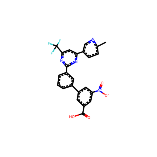 Cc1ccc(-c2cc(C(F)(F)F)nc(-c3cccc(-c4cc(C(=O)O)cc([N+](=O)[O-])c4)c3)n2)cn1